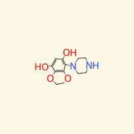 Oc1cc(O)c(N2CCNCC2)c2c1OCCO2